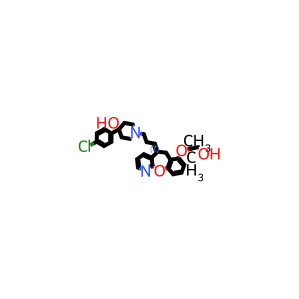 CC(C)(CO)Oc1cccc2c1C/C(=C/CCN1CCC(O)(c3ccc(Cl)cc3)CC1)c1cccnc1O2